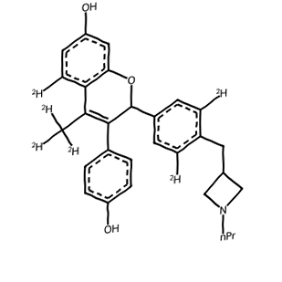 [2H]c1cc(C2Oc3cc(O)cc([2H])c3C(C([2H])([2H])[2H])=C2c2ccc(O)cc2)cc([2H])c1CC1CN(CCC)C1